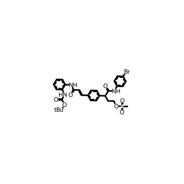 CC(C)(C)OC(=O)Nc1ccccc1NC(=O)/C=C/c1ccc(C(CCOS(C)(=O)=O)C(=O)Nc2ccc(Br)cc2)cc1